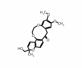 COc1cc2c(cc1OC)OCCOc1c(ccc3c1C=CC(C)(CO)O3)C(=O)C2